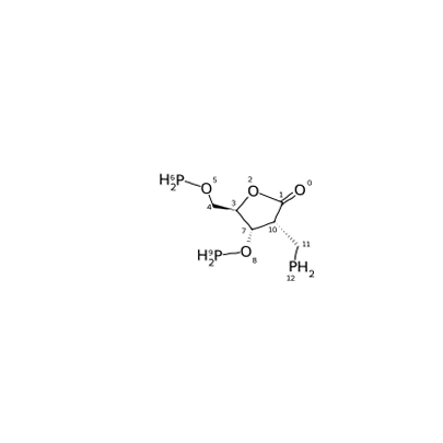 O=C1O[C@H](COP)[C@@H](OP)[C@H]1CP